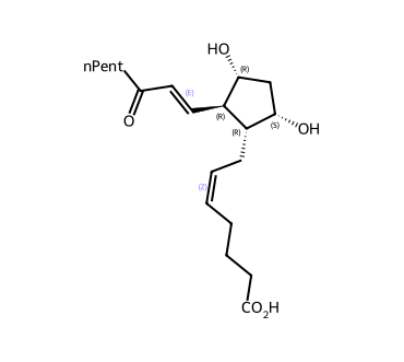 CCCCCC(=O)/C=C/[C@@H]1[C@@H](C/C=C\CCCC(=O)O)[C@@H](O)C[C@H]1O